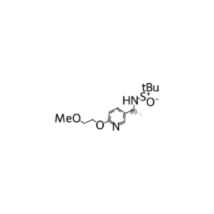 COCCOc1ccc([C@@H](C)N[S+]([O-])C(C)(C)C)cn1